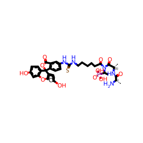 CC(N(C(=O)CCCCCNC(=S)Nc1ccc2c(c1)C(=O)OC21c2ccc(O)cc2Oc2cc(O)ccc21)C(=O)[C@H](C)NC(=O)[C@H](C)N)P(=O)(O)O